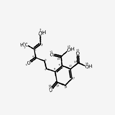 CC(=CO)C(=O)CCC1=C(C(=O)O)C(C(=O)O)=CCC1=O